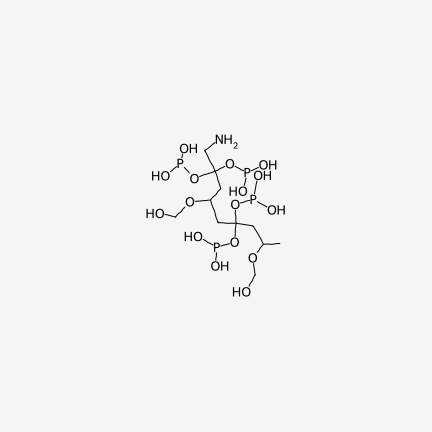 CC(CC(CC(CC(CN)(OP(O)O)OP(O)O)OCO)(OP(O)O)OP(O)O)OCO